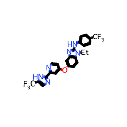 CCn1c(Nc2ccc(C(F)(F)F)cc2)nc2cc(Oc3ccnc(-c4ncc(C(F)(F)F)[nH]4)c3)ccc21